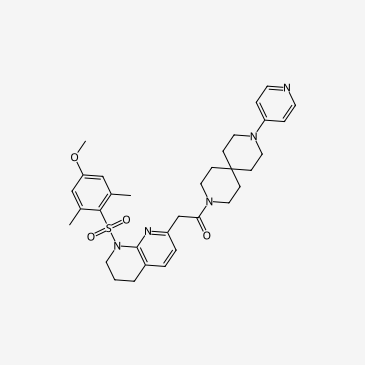 COc1cc(C)c(S(=O)(=O)N2CCCc3ccc(CC(=O)N4CCC5(CC4)CCN(c4ccncc4)CC5)nc32)c(C)c1